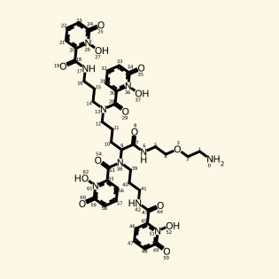 NCCOCCNC(=O)C(CCCN(CCCNC(=O)c1cccc(=O)n1O)C(=O)c1cccc(=O)n1O)N(CCCNC(=O)c1cccc(=O)n1O)C(=O)c1cccc(=O)n1O